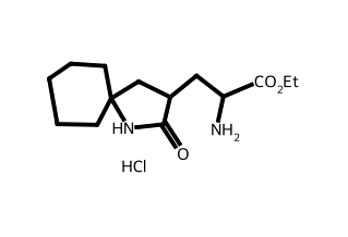 CCOC(=O)C(N)CC1CC2(CCCCC2)NC1=O.Cl